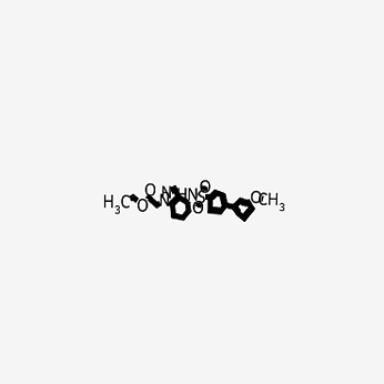 CCOC(=O)Cn1ncc2c1CCCC2NS(=O)(=O)c1ccc(-c2cccc(OC)c2)cc1